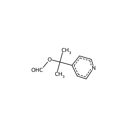 CC(C)(OC=O)c1ccncc1